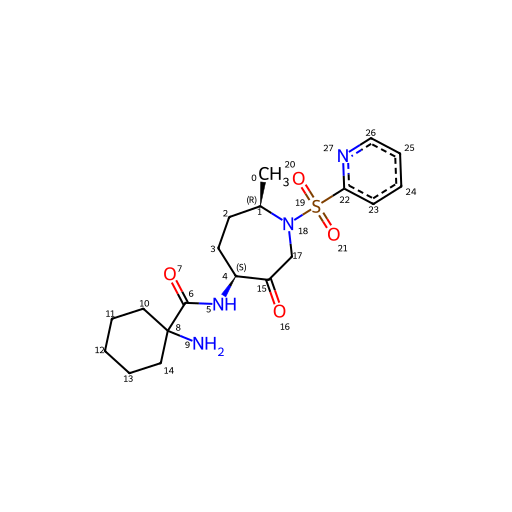 C[C@@H]1CC[C@H](NC(=O)C2(N)CCCCC2)C(=O)CN1S(=O)(=O)c1ccccn1